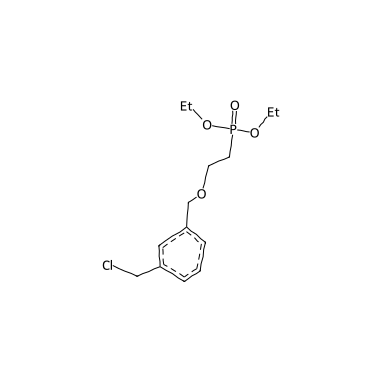 CCOP(=O)(CCOCc1cccc(CCl)c1)OCC